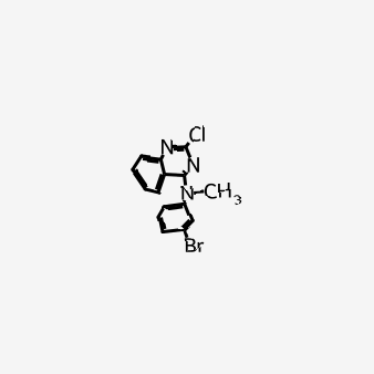 CN(c1cccc(Br)c1)c1nc(Cl)nc2ccccc12